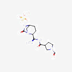 N=C(NC(=O)C1CCN(C=O)C1)C1CCC2CN1C(=O)N2OS(=O)(=O)O